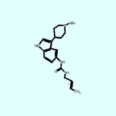 C/C=C/CNC(=O)Nc1ccc2[nH]cc(C3CCN(CCCC)CC3)c2c1